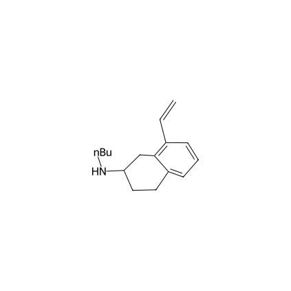 C=Cc1cccc2c1CC(NCCCC)CC2